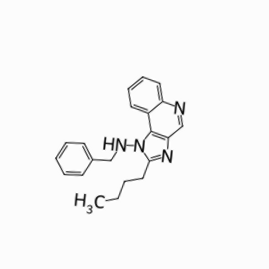 CCCCc1nc2cnc3ccccc3c2n1NCc1ccccc1